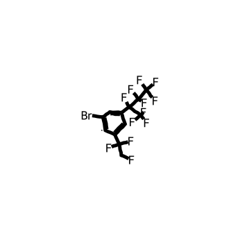 FCC(F)(F)c1[c]c(Br)cc(C(F)(C(F)(F)F)C(F)(F)C(F)(F)F)c1